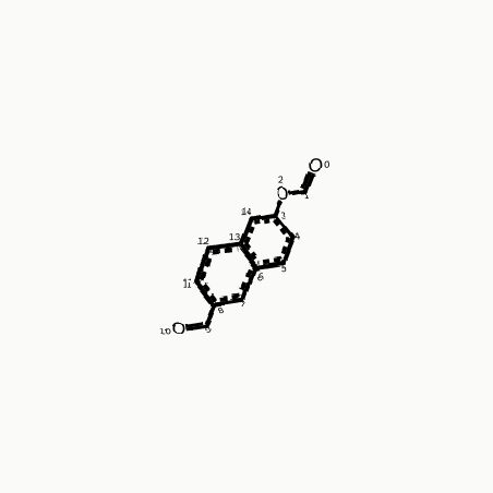 O=COc1ccc2cc(C=O)ccc2c1